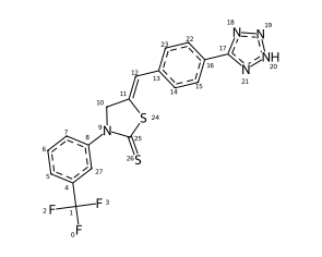 FC(F)(F)c1cccc(N2CC(=Cc3ccc(-c4nn[nH]n4)cc3)SC2=S)c1